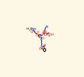 C=P(OCCO)(OCCC#N)OC[C@@H]1C[C@@H](OC(=O)CCC(=O)NC)CN1C(=O)CCCCCN1C(=O)c2ccccc2C1=O